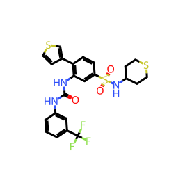 O=C(Nc1cccc(C(F)(F)F)c1)Nc1cc(S(=O)(=O)NC2CCSCC2)ccc1-c1ccsc1